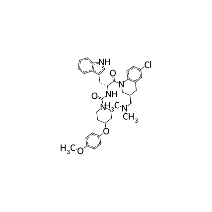 COc1ccc(OC2CCN(C(=O)N[C@H](Cc3c[nH]c4ccccc34)C(=O)N3C[C@H](CN(C)C)Cc4cc(Cl)ccc43)CC2)cc1